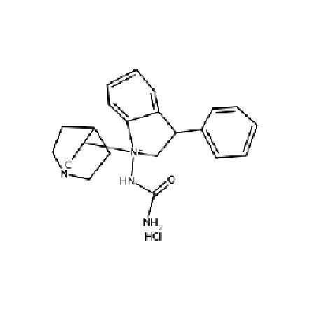 Cl.NC(=O)N[N+]1(C2CN3CCC2CC3)CC(c2ccccc2)c2ccccc21